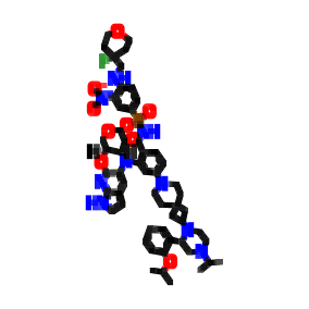 CC(C)Oc1ccccc1[C@@H]1CN(C(C)C)CCN1C1CC2(CCN(c3ccc(C(=O)NS(=O)(=O)c4ccc(NCC5(F)CCOCC5)c([N+](=O)[O-])c4)c(N4c5cc6cc[nH]c6nc5O[C@H]5COCC[C@@H]54)c3)CC2)C1